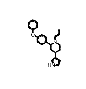 CC=CN1CCC(c2cc[nH]c2)CC1c1ccc(Oc2ccccc2)cc1